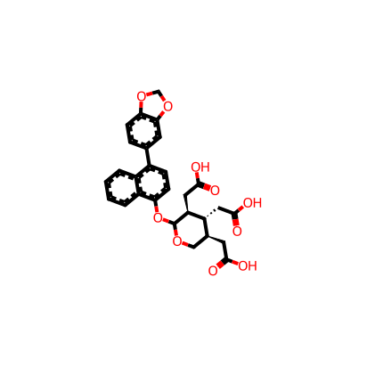 O=C(O)C[C@H]1COC(Oc2ccc(-c3ccc4c(c3)OCO4)c3ccccc23)[C@@H](CC(=O)O)[C@@H]1CC(=O)O